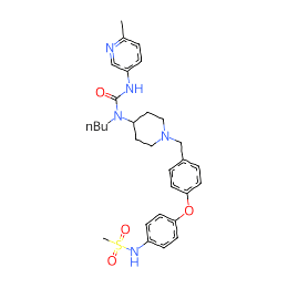 CCCCN(C(=O)Nc1ccc(C)nc1)C1CCN(Cc2ccc(Oc3ccc(NS(C)(=O)=O)cc3)cc2)CC1